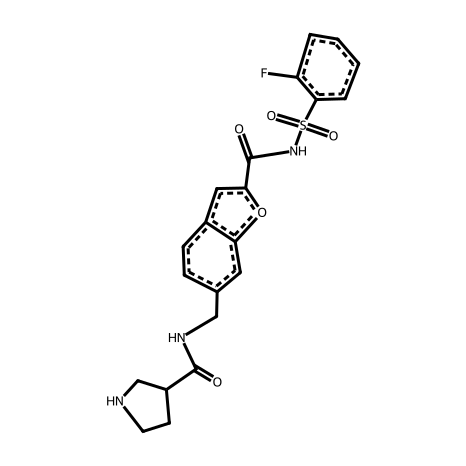 O=C(NS(=O)(=O)c1ccccc1F)c1cc2ccc(CNC(=O)C3CCNC3)cc2o1